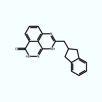 O=c1[nH]nc2c3c(cccc13)N=C(CC1Cc3ccccc3C1)N2